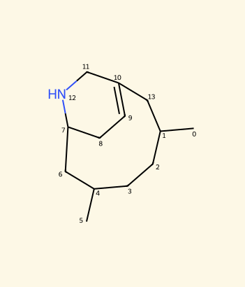 CC1CCC(C)CC2CC=C(CN2)C1